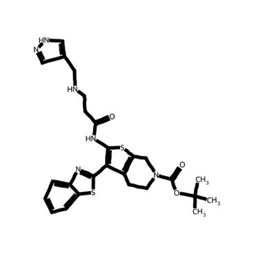 CC(C)(C)OC(=O)N1CCc2c(sc(NC(=O)CCNCc3cn[nH]c3)c2-c2nc3ccccc3s2)C1